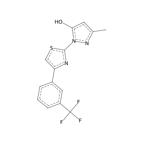 Cc1cc(O)n(-c2nc(-c3cccc(C(F)(F)F)c3)cs2)n1